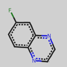 Fc1ccc2n[c]cnc2c1